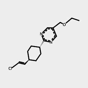 CCOCc1cnc([C@H]2CC[C@H](/C=C/Cl)CC2)nc1